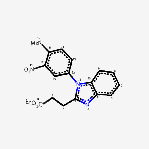 CCOC(=O)CCc1nc2ccccc2n1-c1ccc(NC)c([N+](=O)[O-])c1